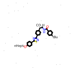 CCCCCCCOc1ccc(-c2nc(-c3ccc(C[C@H](NC(=O)c4ccc(C(C)(C)C)cc4)C(=O)O)cc3)ns2)cc1